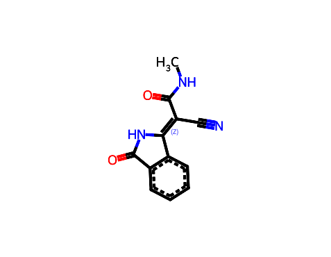 CNC(=O)/C(C#N)=C1\NC(=O)c2ccccc21